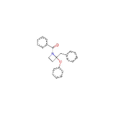 O=C(c1ccccc1)N1CCC1(Cc1ccccc1)Oc1ccccc1